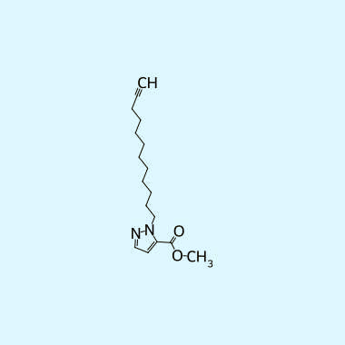 C#CCCCCCCCCCCn1nccc1C(=O)OC